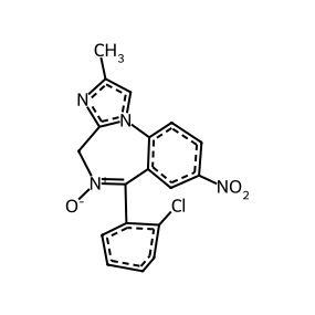 Cc1cn2c(n1)C[N+]([O-])=C(c1ccccc1Cl)c1cc([N+](=O)[O-])ccc1-2